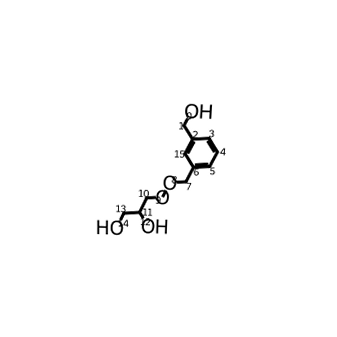 OCc1cccc(COOCC(O)CO)c1